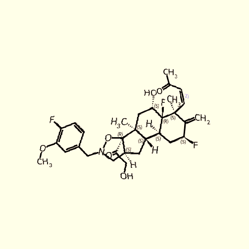 C=C1[C@@H](F)C[C@H]2[C@@H]3C[C@H]4CN(Cc5ccc(F)c(OC)c5)O[C@@]4(C(=O)CO)[C@@]3(C)C[C@H](O)[C@]2(F)[C@@]1(C)/C=C\C(C)=O